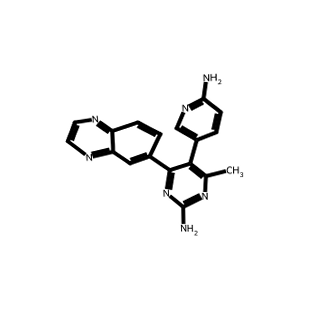 Cc1nc(N)nc(-c2ccc3nccnc3c2)c1-c1ccc(N)nc1